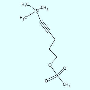 C[Si](C)(C)C#CCCCOS(C)(=O)=O